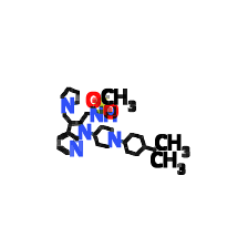 CC(C)C1CCC(N2CCC(n3c(CNS(C)(=O)=O)c(CN4CCCC4)c4cccnc43)CC2)CC1